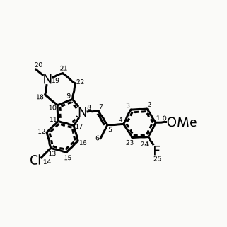 COc1ccc(C(C)=Cn2c3c(c4cc(Cl)ccc42)CN(C)CC3)cc1F